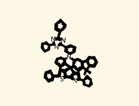 CC1(C)c2ccccc2-c2cc3c(cc21)C1(c2ccccc2N3c2cccc(-c3nc(-c4ccccc4)nc(-c4ccccc4)n3)c2)c2cc(-c3ccccc3)sc2-c2sc(-c3ccccc3)cc21